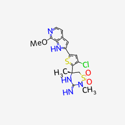 COc1nccc2cc(-c3cc(Cl)c([C@]4(C)CS(=O)(=O)N(C)C(=N)N4)s3)[nH]c12